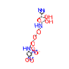 Cn1cc([C@@H]2CO[C@H](CNCCOCCOCCOCCNc3ccc([N+](=O)[O-])cc3[N+](=O)[O-])[C@H](O)[C@@H]2O)cn1